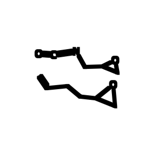 C=CCCC1CO1.O=C=NCC1CO1